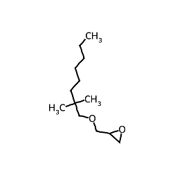 CCCCCCC(C)(C)COCC1CO1